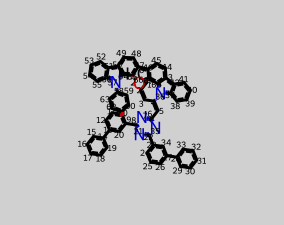 C=C/C=C\C(=C/c1nc(-c2cccc(-c3ccccc3)c2)nc(-c2cccc(-c3ccccc3)c2)n1)n1c2ccccc2c2ccc3c4ccc5c6ccccc6n(-c6ccccc6)c5c4oc3c21